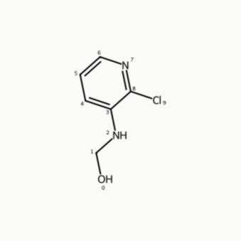 OCNc1cccnc1Cl